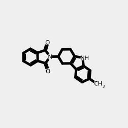 Cc1ccc2c3c([nH]c2c1)CCC(N1C(=O)c2ccccc2C1=O)C3